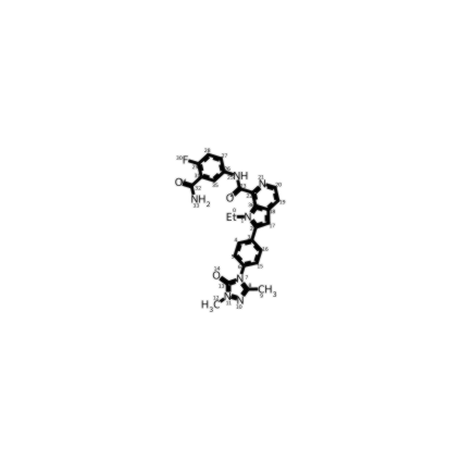 CCn1c(-c2ccc(-n3c(C)nn(C)c3=O)cc2)cc2ccnc(C(=O)Nc3ccc(F)c(C(N)=O)c3)c21